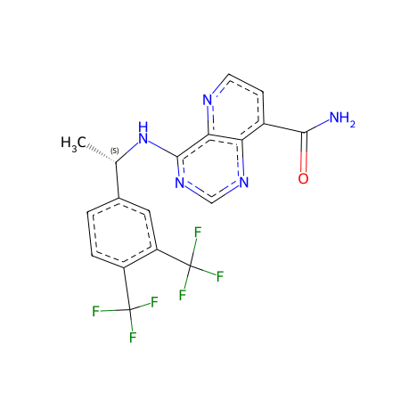 C[C@H](Nc1ncnc2c(C(N)=O)ccnc12)c1ccc(C(F)(F)F)c(C(F)(F)F)c1